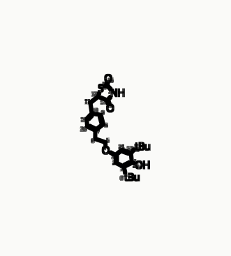 CC(C)(C)c1cc(OCCc2ccc(CC3SC(=O)NC3=O)cc2)cc(C(C)(C)C)c1O